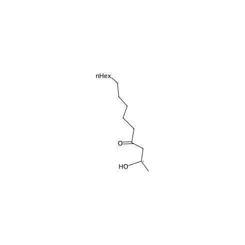 [CH2]CCCCCCCCCCC(=O)C[C](C)O